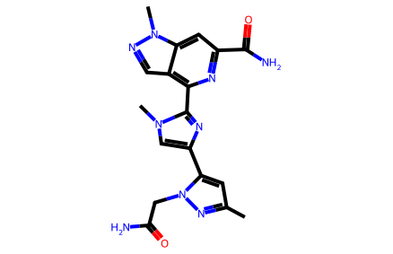 Cc1cc(-c2cn(C)c(-c3nc(C(N)=O)cc4c3cnn4C)n2)n(CC(N)=O)n1